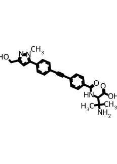 Cn1nc(CO)cc1-c1ccc(C#Cc2ccc(C(=O)NC(C(=O)O)C(C)(C)N)cc2)cc1